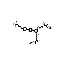 C=C(CO)C(=O)OCCOc1cc(OCCOC(=O)C(=C)CO)cc(-c2ccc(C3CCC(CCCCC(F)(F)F)CC3)cc2)c1